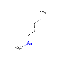 CNCCCCNC(=O)O